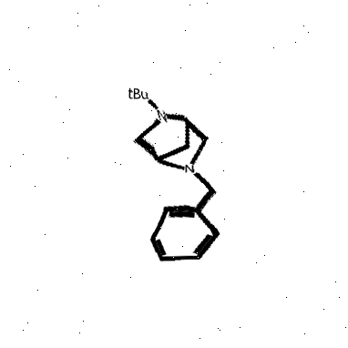 CC(C)(C)N1CC2CC1CN2Cc1ccccc1